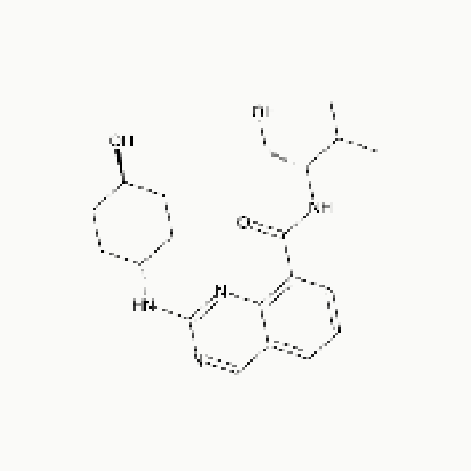 CC(C)[C@@H](CO)NC(=O)c1cccc2cnc(N[C@H]3CC[C@H](O)CC3)nc12